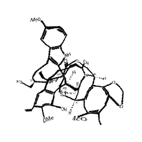 COc1ccc2[nH]c3c(c2c1)C[C@H](CO)N[C@]31CS[C@@H]2c3c(OC(C)=O)c(C)c4c(c3[C@H](COC1=O)N1[C@@H]2[C@H]2c3c(cc(C)c(OC)c3O)C3(C)CC1(C#N)CN23)OCO4